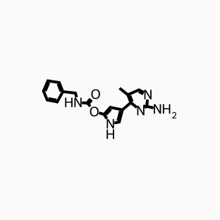 Cc1cnc(N)nc1-c1c[nH]c(OC(=O)NCc2ccccc2)c1